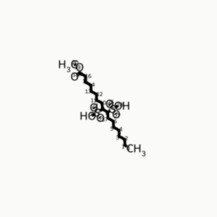 CCCCCCCCC(C(CCCCCCCC(=O)OC)S(=O)(=O)O)S(=O)(=O)O